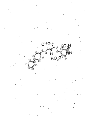 CC1=C(C(=O)O)C(CCC(CC=O)NCCCN2CCC(c3ccccc3)CC2)C(C(=O)O)=C(C)N1